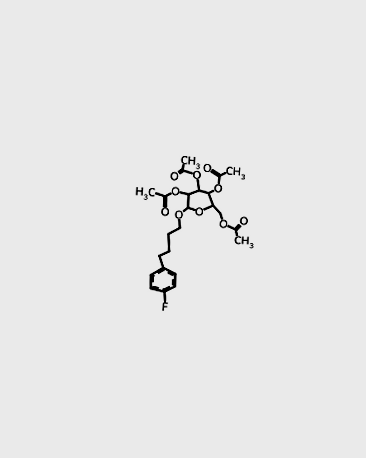 CC(=O)OCC1OC(OCCCCc2ccc(F)cc2)C(OC(C)=O)C(OC(C)=O)C1OC(C)=O